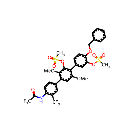 COc1cc(-c2ccc(NC(=O)C(F)(F)F)c(C(F)(F)F)c2)c(OC)c(OS(C)(=O)=O)c1-c1ccc(OCc2ccccc2)c(OS(C)(=O)=O)c1